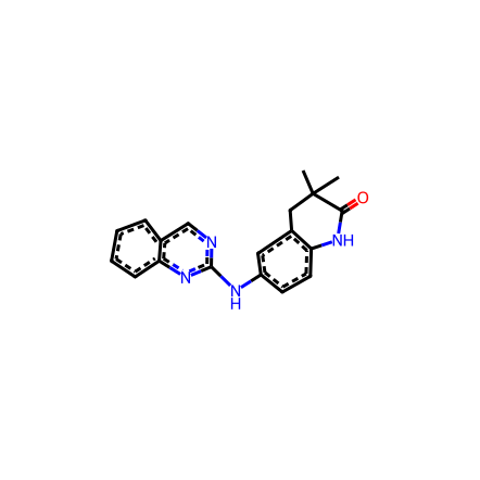 CC1(C)Cc2cc(Nc3ncc4ccccc4n3)ccc2NC1=O